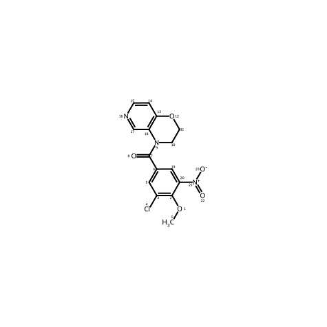 COc1c(Cl)cc(C(=O)N2CCOc3ccncc32)cc1[N+](=O)[O-]